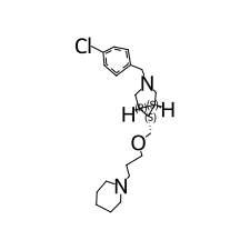 Clc1ccc(CN2C[C@@H]3[C@H](COCCCN4CCCCC4)[C@@H]3C2)cc1